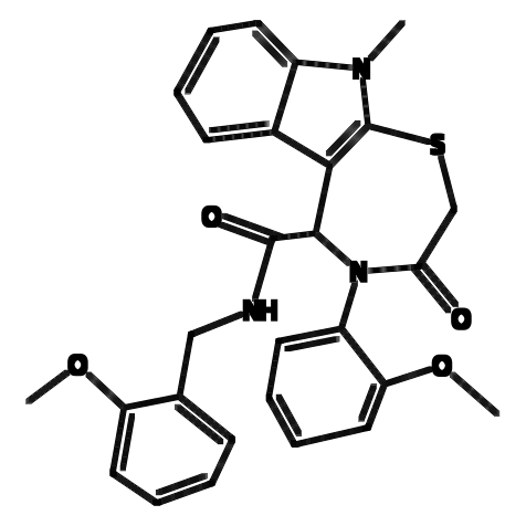 COc1ccccc1CNC(=O)C1c2c(n(C)c3ccccc23)SCC(=O)N1c1ccccc1OC